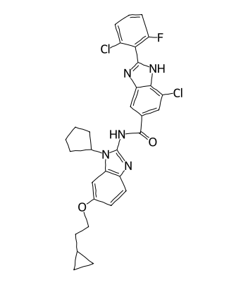 O=C(Nc1nc2ccc(OCCC3CC3)cc2n1C1CCCC1)c1cc(Cl)c2[nH]c(-c3c(F)cccc3Cl)nc2c1